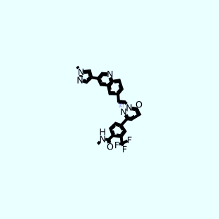 CNC(=O)c1ccc(-c2ccc(=O)n(/C=C/c3ccc4ncc(-c5cnn(C)c5)cc4c3)n2)cc1C(F)(F)F